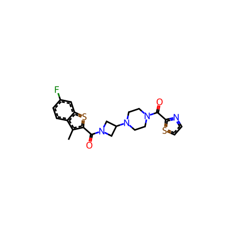 Cc1c(C(=O)N2CC(N3CCN(C(=O)c4nccs4)CC3)C2)sc2cc(F)ccc12